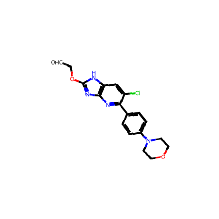 O=CCOc1nc2nc(-c3ccc(N4CCOCC4)cc3)c(Cl)cc2[nH]1